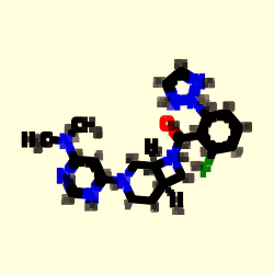 CN(C)c1cc(N2CC[C@@H]3CN(C(=O)c4c(F)cccc4-n4nccn4)[C@@H]3C2)ncn1